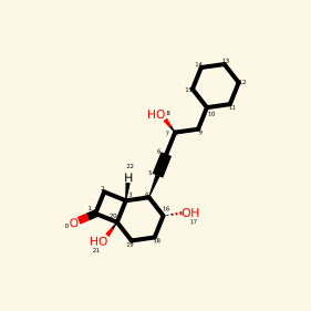 O=C1C[C@@H]2[C@@H](C#C[C@@H](O)CC3CCCCC3)[C@H](O)CC[C@]12O